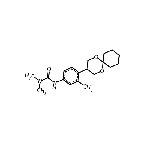 Cc1cc(NC(=O)N(C)C)ccc1C1COC2(CCCCC2)OC1